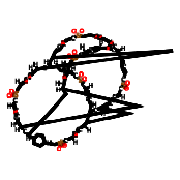 O=S1(=O)CC2CCC(CC2)C2C[C@H]3C[C@@H](C2)[C@H]2CC[C@H](CC2)CS(=O)(=O)C[C@@H]2CC[C@@H](CC2)[C@H]2CC4C[C@H](C2)[C@H]2CC[C@H](CC2)CS(=O)(=O)C[C@@H]2CC[C@@H](CC2)[C@H]2CC(C[C@H](C2)[C@H]2CC[C@H](CC2)CS(=O)(=O)C[C@@H]2CC[C@@H](CC2)C2CC(C[C@H](C2)[C@H]2CC[C@H](CC2)CS(=O)(=O)CC2=CC=C3CC2)[C@H]2CC[C@H](CC2)CS(=O)(=O)C[C@@H]2CC[C@H]4CC2)C2CCC(CC2)C1